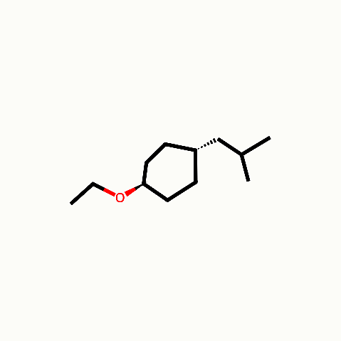 CCO[C@H]1CC[C@H](CC(C)C)CC1